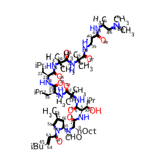 CCCCCCCC[C@@H](C(=O)N[C@H](C(=O)NC(C)(C)C(=O)N[C@@H](CC(C)C)C(=O)N[C@@H](CC(C)C)C(=O)NC(C)(C)C(=O)NC(C)(C)C(=O)NCCC(=O)N[C@@H](C)CN(C)C)[C@H](O)C(C)C)N(C=O)[C@@H]1C[C@H](C)CN1C(=O)/C=C/[C@@H](C)CC